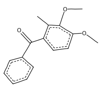 COc1ccc(C(=O)c2ccccc2)c(C)c1OC